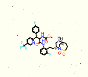 COC(=O)NC(C(=O)Nc1cccc(F)c1CC[C@H]1CN[C@@H]2CCCS(=O)(=O)N1C2)C(c1ccc(F)cc1)c1ccc(C(F)(F)F)cn1